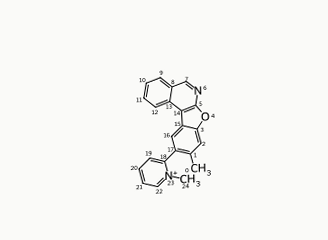 Cc1cc2oc3ncc4ccccc4c3c2cc1-c1cccc[n+]1C